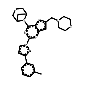 Cc1cccc(-c2ccn(-c3nc(N4C5COCC4C5)c4sc(CN5CCOCC5)cc4n3)n2)c1